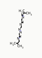 CC(C)C/N=N/C/N=N/CN=NC/N=N/C(C)C